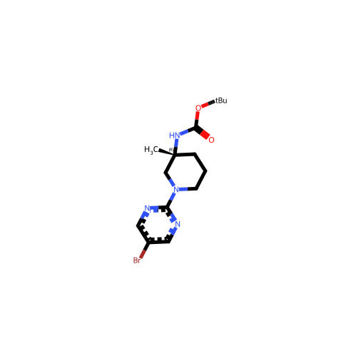 CC(C)(C)OC(=O)N[C@]1(C)CCCN(c2ncc(Br)cn2)C1